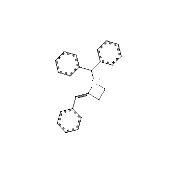 C(=C1CCN1C(c1ccccc1)c1ccccc1)c1ccccc1